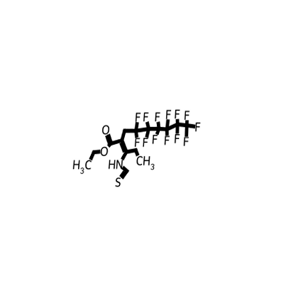 CCOC(=O)C(CC(F)(F)C(F)(F)C(F)(F)C(F)(F)C(F)(F)C(F)(F)F)=C(CC)NC=S